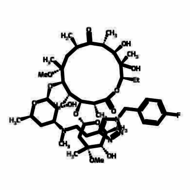 CC[C@H]1OC(=O)[C@H](C)[C@@H](O[C@H]2C[C@@](C)(OC)[C@@H](O)[C@H](C)O2)[C@H](C)[C@@H](O[C@@H]2O[C@H](C)C[C@H](N(C)CCc3cn(Cc4ccc(F)cc4)nn3)[C@H]2O)[C@](C)(OC)C[C@@H](C)C(=O)[C@H](C)[C@@H](O)[C@]1(C)O